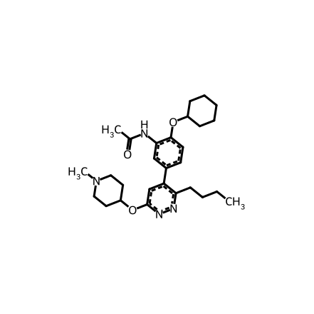 CCCCc1nnc(OC2CCN(C)CC2)cc1-c1ccc(OC2CCCCC2)c(NC(C)=O)c1